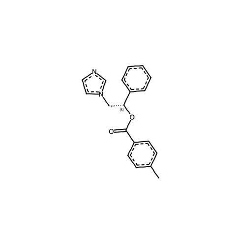 Cc1ccc(C(=O)O[C@H](Cn2ccnc2)c2ccccc2)cc1